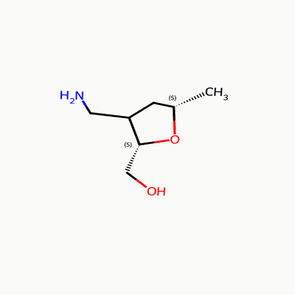 C[C@H]1CC(CN)[C@@H](CO)O1